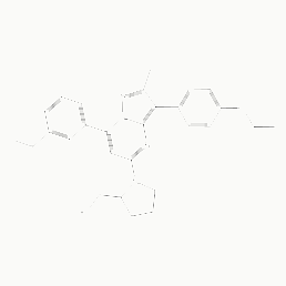 CCOc1ccc(-c2c(C)nn3c(-c4cccc(CF)c4)cc(N4CCCC4CO)nc23)cc1